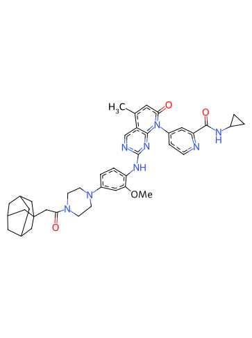 COc1cc(N2CCN(C(=O)CC34CC5CC(CC(C5)C3)C4)CC2)ccc1Nc1ncc2c(C)cc(=O)n(-c3ccnc(C(=O)NC4CC4)c3)c2n1